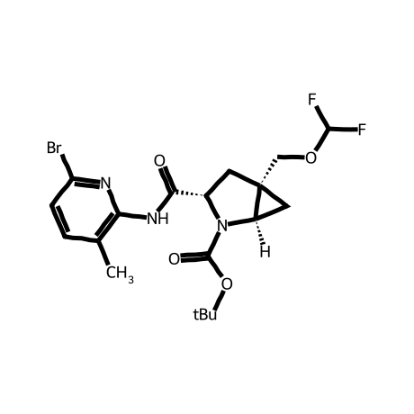 Cc1ccc(Br)nc1NC(=O)[C@@H]1C[C@@]2(COC(F)F)C[C@H]2N1C(=O)OC(C)(C)C